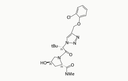 CNC(=O)[C@@H]1C[C@@H](O)CN1C(=O)[C@@H](n1cc(COc2ccccc2Cl)nn1)C(C)(C)C